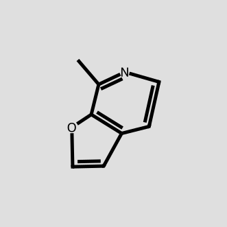 Cc1nccc2ccoc12